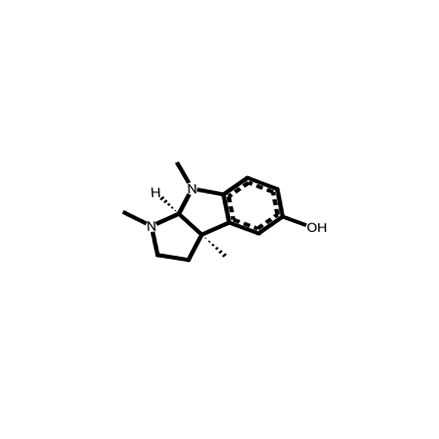 CN1CC[C@]2(C)c3cc(O)ccc3N(C)[C@H]12